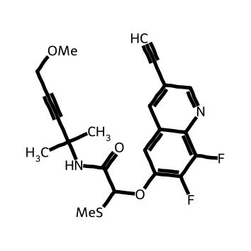 C#Cc1cnc2c(F)c(F)c(OC(SC)C(=O)NC(C)(C)C#CCOC)cc2c1